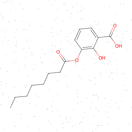 CCCCCCCC(=O)Oc1cccc(C(=O)O)c1O